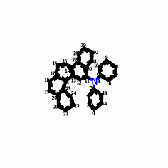 c1ccc(N(c2ccccc2)c2cc3c(ccc4ccc5ccccc5c43)c3ccccc23)cc1